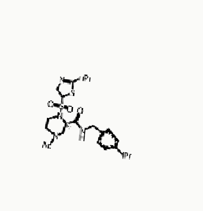 CCCC1=NCC(S(=O)(=O)N2CCN(C(C)=O)C[C@@H]2C(=O)NCc2ccc(C(C)C)cc2)S1